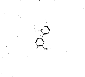 COc1ncccc1-c1ccc(F)c(C=O)c1